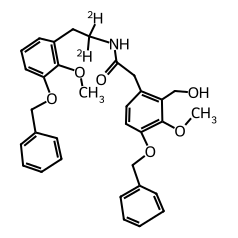 [2H]C([2H])(Cc1cccc(OCc2ccccc2)c1OC)NC(=O)Cc1ccc(OCc2ccccc2)c(OC)c1CO